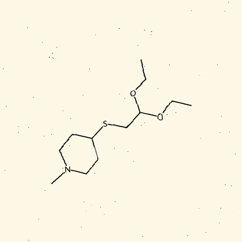 CCOC(CSC1CCN(C)CC1)OCC